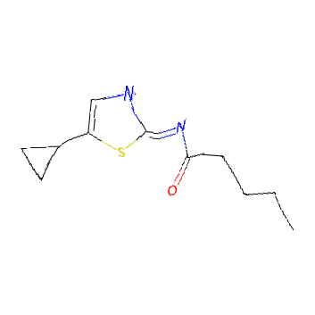 CCCCC(=O)N=C1[N]C=C(C2CC2)S1